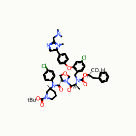 C[C@@H](C(=O)N1COC[C@H]1C(=O)N(c1ccc(Cl)cc1)[C@@]1(C)CCCN(C(=O)OC(C)(C)C)C1)N(Cc1ccc(Cl)cc1Oc1ccc(-c2cnc(CN(C)C)n2C)cc1)C(=O)O[C@@H](Cc1ccccc1)C(=O)O